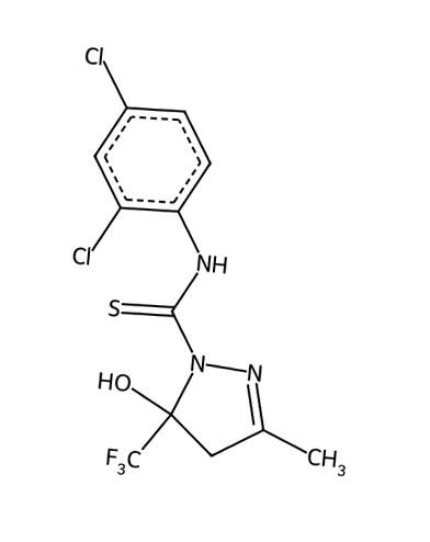 CC1=NN(C(=S)Nc2ccc(Cl)cc2Cl)C(O)(C(F)(F)F)C1